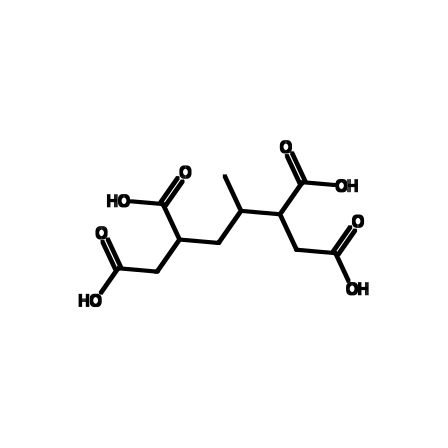 CC(CC(CC(=O)O)C(=O)O)C(CC(=O)O)C(=O)O